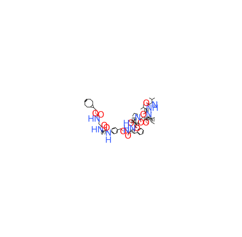 CC[C@H](C)[C@@H]([C@@H](CC(=O)N1CCC[C@H]1[C@H](OC)[C@@H](C)C(=O)N[C@@H](Cc1ccccc1)C(=O)NOCc1ccc(NC(=O)[C@@H](C)NC(=O)CCNC(=O)OCC2C3CCC#CCCC32)cc1)OC)N(C)C(=O)[C@@H](NC(=O)C(C(C)C)N(C)C)C(C)C